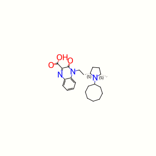 C[C@H]1CC[C@@H](CCn2c(=O)c(C(=O)O)nc3ccccc32)N1C1CCCCCCC1